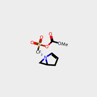 C1=CN2CC2C1.COC(=O)OS(=O)(=O)C(F)(F)F